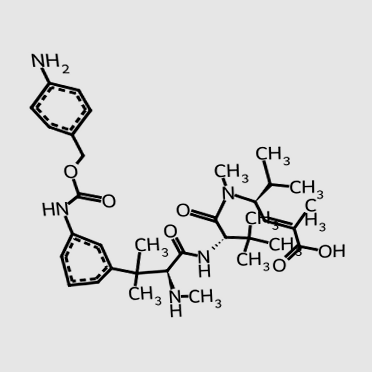 CN[C@H](C(=O)N[C@H](C(=O)N(C)[C@H](/C=C(\C)C(=O)O)C(C)C)C(C)(C)C)C(C)(C)c1cccc(NC(=O)OCc2ccc(N)cc2)c1